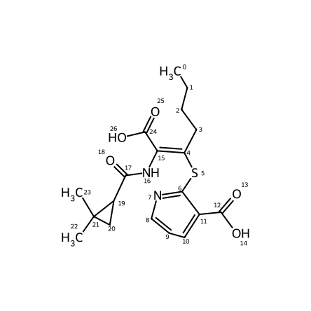 CCCCC(Sc1ncccc1C(=O)O)=C(NC(=O)C1CC1(C)C)C(=O)O